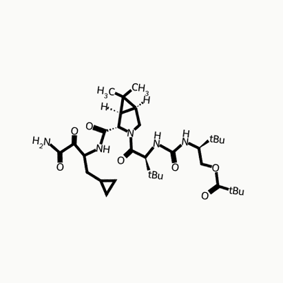 CC(C)(C)C(=O)OC[C@@H](NC(=O)N[C@H](C(=O)N1C[C@H]2[C@@H]([C@H]1C(=O)NC(CC1CC1)C(=O)C(N)=O)C2(C)C)C(C)(C)C)C(C)(C)C